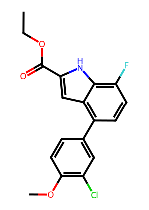 CCOC(=O)c1cc2c(-c3ccc(OC)c(Cl)c3)ccc(F)c2[nH]1